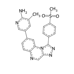 Cc1cc(-c2ccc3ncc4nnc(-c5ccc(S(C)(=O)=O)cc5)n4c3c2)cnc1N